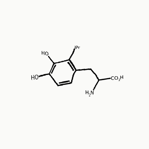 CC(C)c1c(CC(N)C(=O)O)ccc(O)c1O